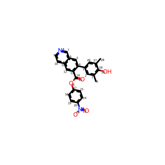 Cc1cc(-c2cc3cnccc3cc2C(=O)Oc2ccc([N+](=O)[O-])cc2)cc(C)c1O